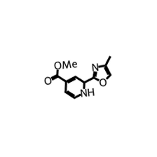 COC(=O)C1=CC(c2nc(C)co2)NC=C1